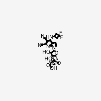 N#Cc1nc2c(ccn2[C@@H]2O[C@H](CS(=O)(=O)CP(=O)(O)O)[C@@H](O)[C@H]2O)c(NC2CC(F)(F)C2)c1C#N